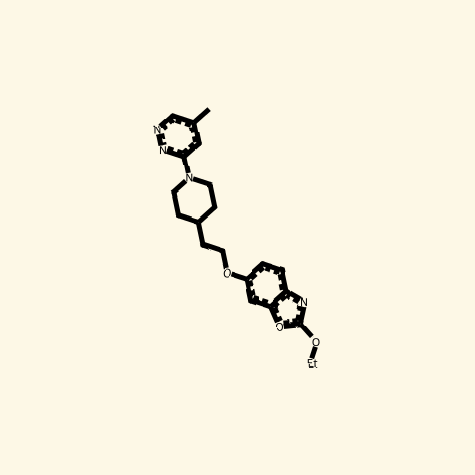 CCOc1nc2ccc(OCCC3CCN(c4cc(C)cnn4)CC3)cc2o1